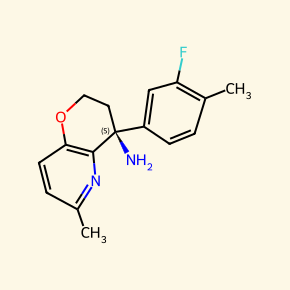 Cc1ccc2c(n1)[C@@](N)(c1ccc(C)c(F)c1)CCO2